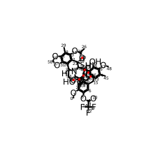 COc1cc2c(cc1OC(=O)C(F)(F)F)CCN[C@]21CS[C@@H]2c3c(OC(C)=O)c(C)c4c(c3[C@H](COC1=O)N1C2[C@@H]2c3c(cc(C)c(OC)c3O)C[C@H]([C@@H]1O)N2C)OCO4